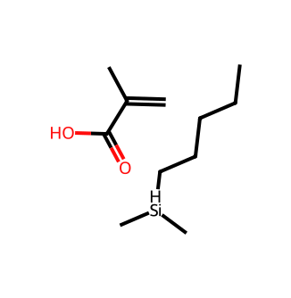 C=C(C)C(=O)O.CCCCC[SiH](C)C